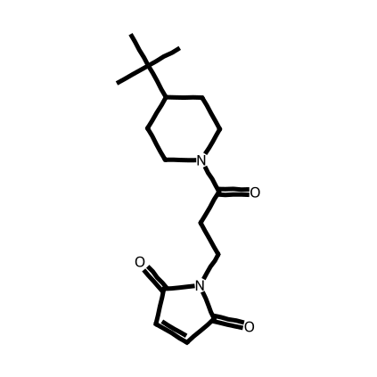 CC(C)(C)C1CCN(C(=O)CCN2C(=O)C=CC2=O)CC1